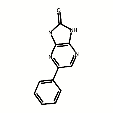 O=C1[N]c2nc(-c3ccccc3)cnc2N1